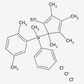 CC1=C(C)C(C)([Si](C)(c2ccccc2)c2cc(C)ccc2C)[C]([Ti+3])=C1C.[Cl-].[Cl-].[Cl-]